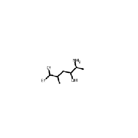 CCC(CC)C(C)CC(O)C(C)N